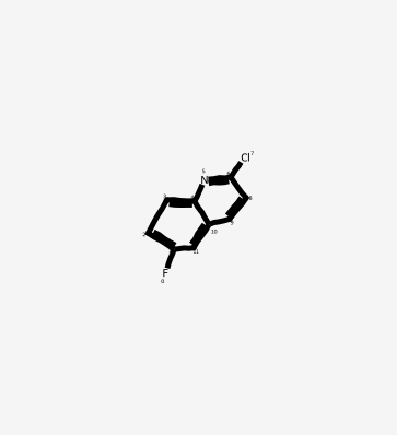 Fc1ccc2nc(Cl)c[c]c2c1